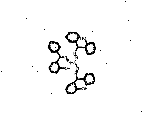 Oc1ccccc1C(N=[N][Al]([N]=NC(c1ccccc1)c1ccccc1O)[N]=NC(c1ccccc1)c1ccccc1O)c1ccccc1